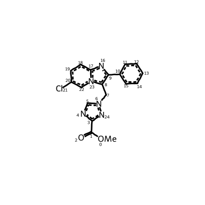 COC(=O)c1ncn(Cc2c(-c3ccccc3)nc3ccc(Cl)cn23)n1